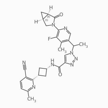 Cc1ccc(C#N)c([C@H]2C[C@@H](NC(=O)c3cn(C(C)c4cnc(N5C[C@H]6C[C@H]6C5=O)c(F)c4C)nn3)C2)n1